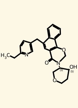 CCc1ccc(Cc2cc3c(c4ccccc24)OCN([C@H]2COCC[C@@H]2O)C3=O)cn1